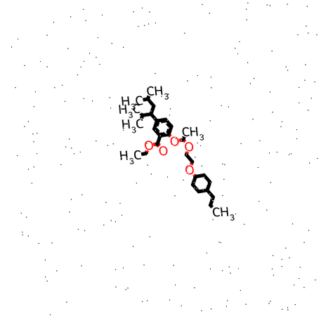 CCCC1CCC(OCCOC(C)Oc2ccc(C(CC(C)C)C(C)C)cc2C(=O)OCC)CC1